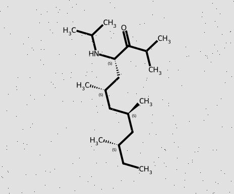 CC[C@H](C)C[C@H](C)C[C@H](C)C[C@H](NC(C)C)C(=O)C(C)C